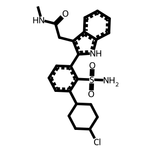 CNC(=O)Cc1c(-c2cccc(C3CCC(Cl)CC3)c2S(N)(=O)=O)[nH]c2ccccc12